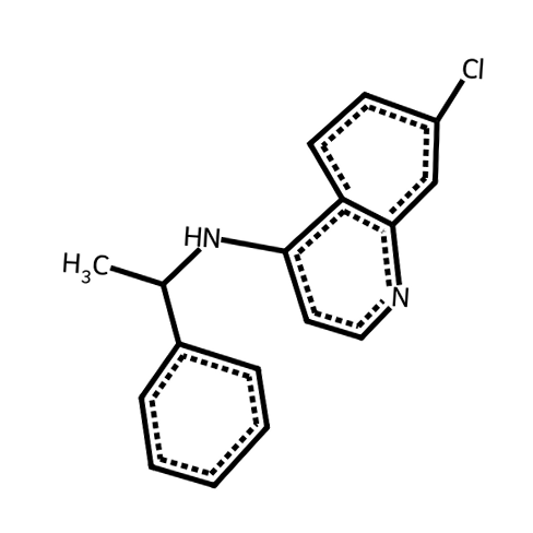 CC(Nc1ccnc2cc(Cl)ccc12)c1ccccc1